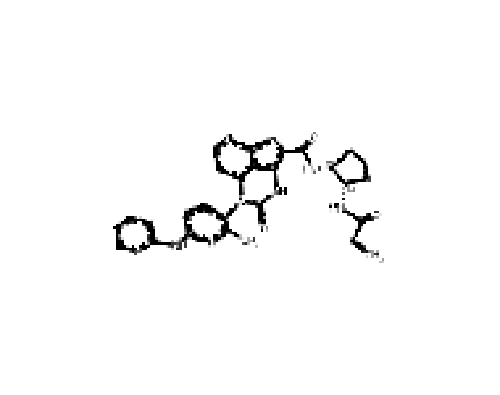 C=CC(=O)N[C@H]1CCC[C@H]1NC(=O)c1sc2nccc3c2c1NC(=O)N3c1ccc(Nc2ccccn2)nc1C